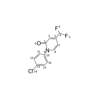 O=c1cc(C(F)F)ccn1-c1ccc(Cl)cc1